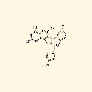 COc1ccc(CN2Cc3c(c(Br)cc4c(Cl)nc(Cl)nc34)C2c2cc(F)ccc2Cl)cc1